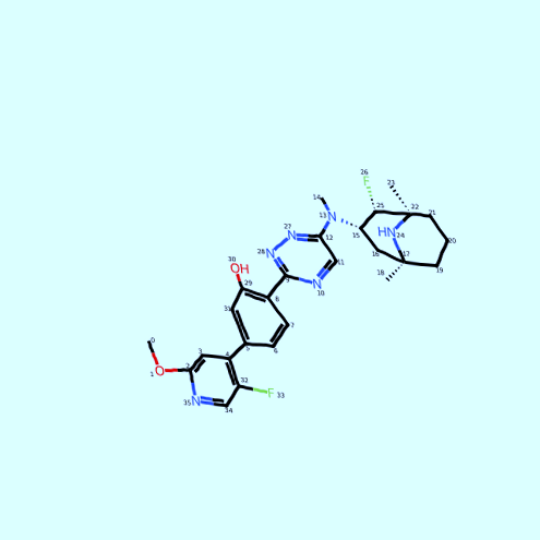 COc1cc(-c2ccc(-c3ncc(N(C)[C@H]4C[C@]5(C)CCC[C@@](C)(N5)[C@H]4F)nn3)c(O)c2)c(F)cn1